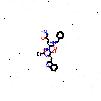 CCC(=O)N[C@@H](Cc1c[nH]c2ccccc12)C(=O)N[C@@H](CCC(=O)C=N)C(=O)NCc1ccccc1